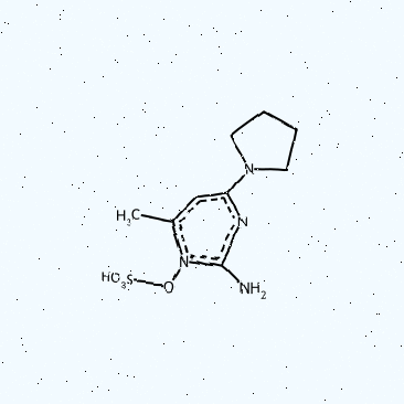 Cc1cc(N2CCCC2)nc(N)[n+]1OS(=O)(=O)O